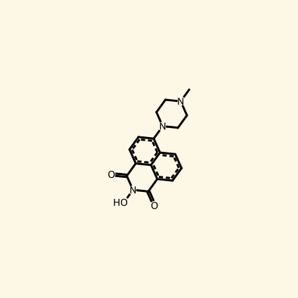 CN1CCN(c2ccc3c4c(cccc24)C(=O)N(O)C3=O)CC1